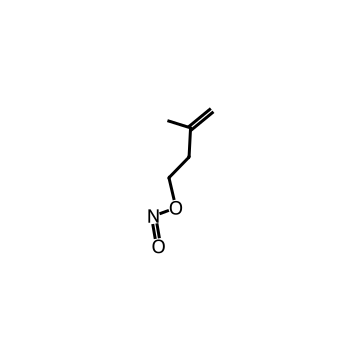 C=C(C)CCON=O